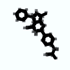 CC(=O)Nc1ccc(-c2nc3c(C)nn(-c4ccccc4)c3c(=O)[nH]2)cc1